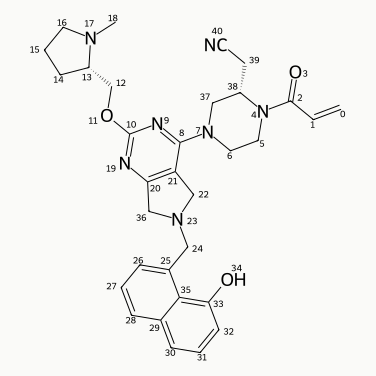 C=CC(=O)N1CCN(c2nc(OC[C@@H]3CCCN3C)nc3c2CN(Cc2cccc4cccc(O)c24)C3)C[C@@H]1CC#N